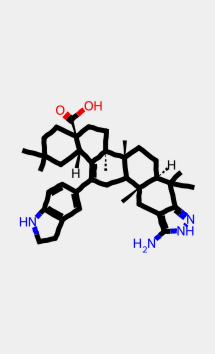 CC1(C)CC[C@]2(C(=O)O)CC[C@]3(C)C(=C(c4ccc5c(c4)CCN5)CC4[C@@]5(C)Cc6c(n[nH]c6N)C(C)(C)[C@@H]5CC[C@]43C)[C@@H]2C1